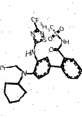 CC(C)CN(c1ccc(-c2ccccc2C(=O)NS(C)(=O)=O)cc1Nc1nc(C(F)(F)F)ns1)C1CCCCC1